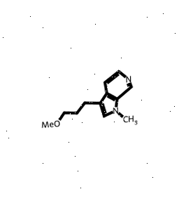 COCCCc1cn(C)c2cnccc12